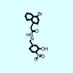 O=C(Cc1ccc(Br)c2ccccc12)N/N=C/c1ccc([N+](=O)[O-])c(O)c1